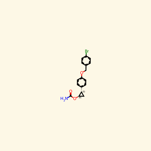 NC(=O)O[C@@H]1C[C@H]1c1ccc(OCc2ccc(Br)cc2)cc1